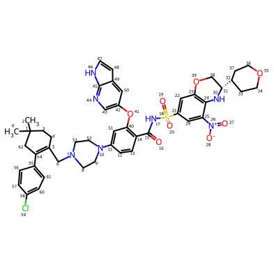 CC1(C)CCC(CN2CCN(c3ccc(C(=O)NS(=O)(=O)c4cc5c(c([N+](=O)[O-])c4)N[C@@H](C4CCOCC4)CO5)c(Oc4cnc5[nH]ccc5c4)c3)CC2)=C(c2ccc(Cl)cc2)C1